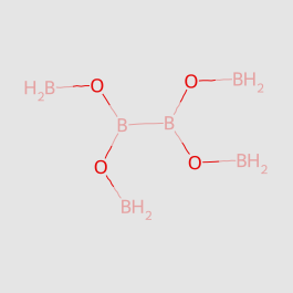 BOB(OB)B(OB)OB